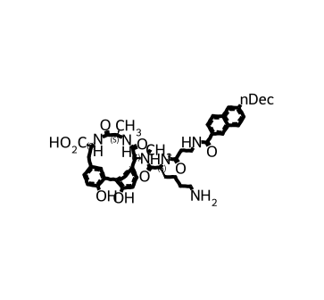 CCCCCCCCCCc1ccc2cc(C(=O)NCCC(=O)N[C@@H](CCCCN)C(=O)N(C)[C@@H]3C(=O)N[C@@H](C)C(=O)N[C@H](C(=O)O)Cc4ccc(O)c(c4)-c4cc3ccc4O)ccc2c1